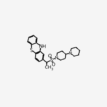 CC(c1ccc2c(c1)Nc1ccccc1S2)S(=O)(=O)N1CCC(N2CCCCC2)CC1